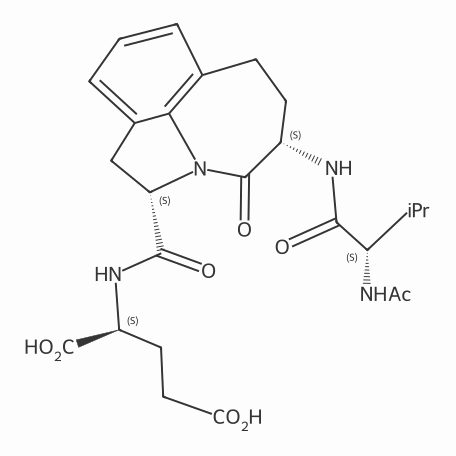 CC(=O)N[C@H](C(=O)N[C@H]1CCc2cccc3c2N(C1=O)[C@H](C(=O)N[C@@H](CCC(=O)O)C(=O)O)C3)C(C)C